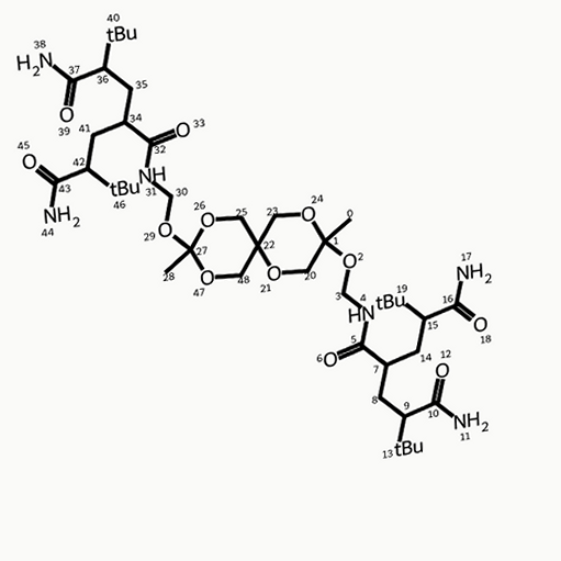 CC1(OCNC(=O)C(CC(C(N)=O)C(C)(C)C)CC(C(N)=O)C(C)(C)C)COC2(CO1)COC(C)(OCNC(=O)C(CC(C(N)=O)C(C)(C)C)CC(C(N)=O)C(C)(C)C)OC2